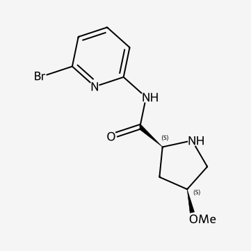 CO[C@@H]1CN[C@H](C(=O)Nc2cccc(Br)n2)C1